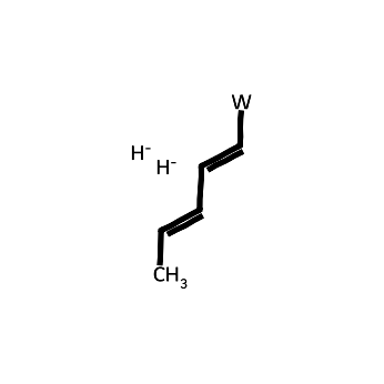 CC=CC=[CH][W].[H-].[H-]